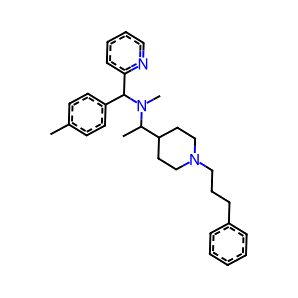 Cc1ccc(C(c2ccccn2)N(C)C(C)C2CCN(CCCc3ccccc3)CC2)cc1